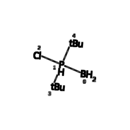 B[PH](Cl)(C(C)(C)C)C(C)(C)C